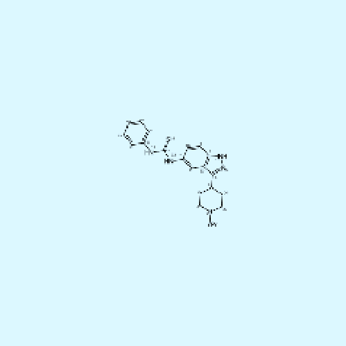 CCCN1CCC(c2n[nH]c3ccc(NC(=S)Nc4ccccc4)cc23)CC1